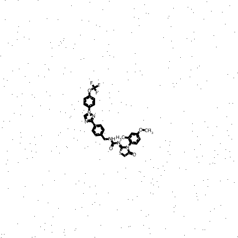 COc1ccc(N2C(=O)CSC2=NC(=O)NCc2ccc(-c3ncn(-c4ccc(OC(F)(F)F)cc4)n3)cc2)c(C)c1